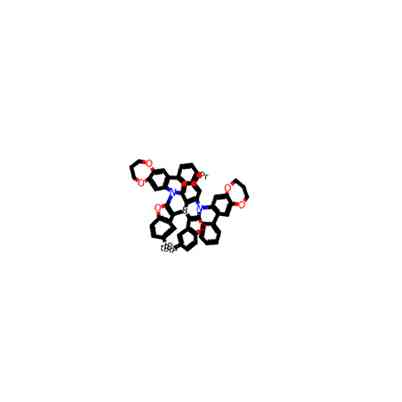 CC(C)c1cc2c3c(c1)N(c1cc4c(cc1-c1ccccc1)OCCCO4)c1oc4ccc(C(C)(C)C)cc4c1B3c1c(oc3ccc(C(C)(C)C)cc13)N2c1cc2c(cc1-c1ccccc1)OCCCO2